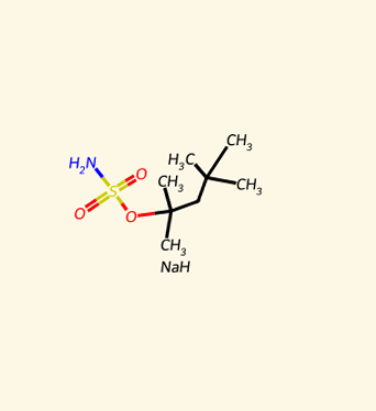 CC(C)(C)CC(C)(C)OS(N)(=O)=O.[NaH]